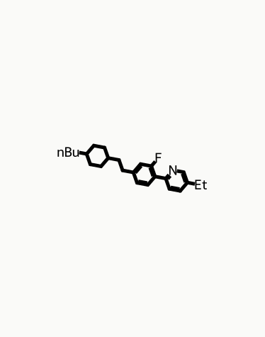 CCCCC1CCC(CCc2ccc(-c3ccc(CC)cn3)c(F)c2)CC1